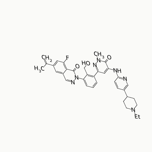 C=C(C)c1cc(F)c2c(=O)n(-c3cccc(-c4cc(Nc5ccc(C6CCN(CC)CC6)cn5)c(=O)n(C)n4)c3CO)ncc2c1